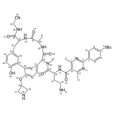 Cc1nc(-c2ccc(C(C)(C)C)cc2)nc(C)c1C(=O)NC(CCN)C(=O)N(C)C1C(=O)NC(C)C(=O)NC(C(=O)NCC#N)Cc2ccc(O)c(c2)-c2cc1ccc2OC1CNC1